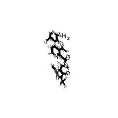 CC(Oc1cc(I)cnc1N)c1cccnc1C(=O)N(C)Cc1c(Br)c(C(C)(C)C)nn1C